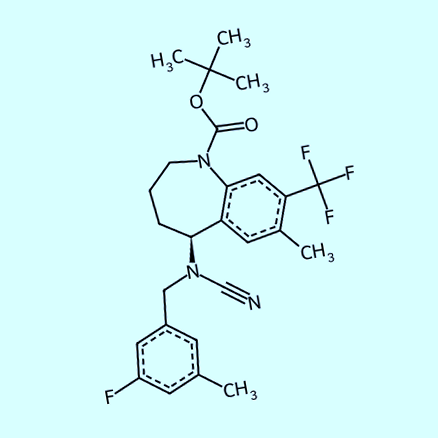 Cc1cc(F)cc(CN(C#N)[C@H]2CCCN(C(=O)OC(C)(C)C)c3cc(C(F)(F)F)c(C)cc32)c1